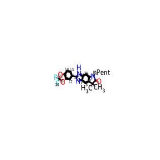 CCCCCN1C(=O)C(C)(C)c2cc3nc(-c4ccc5c(c4)OC(F)(F)O5)[nH]c3cc21